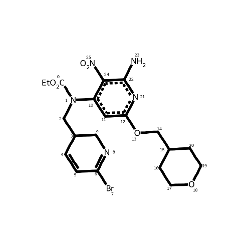 CCOC(=O)N(CC1C=CC(Br)=NC1)c1cc(OCC2CCOCC2)nc(N)c1[N+](=O)[O-]